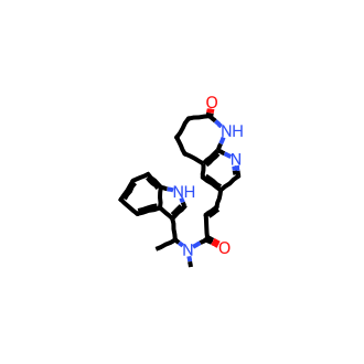 CC(c1c[nH]c2ccccc12)N(C)C(=O)C=Cc1cnc2c(c1)CCCC(=O)N2